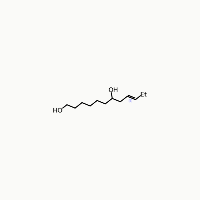 CC/C=C/CC(O)CCCCCCO